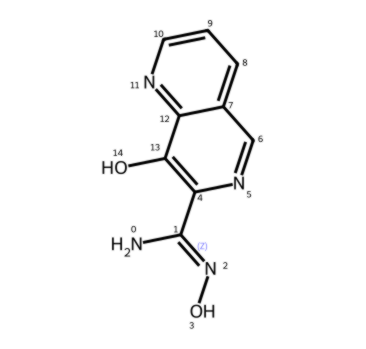 N/C(=N\O)c1ncc2cccnc2c1O